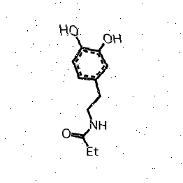 CCC(=O)NCCc1ccc(O)c(O)c1